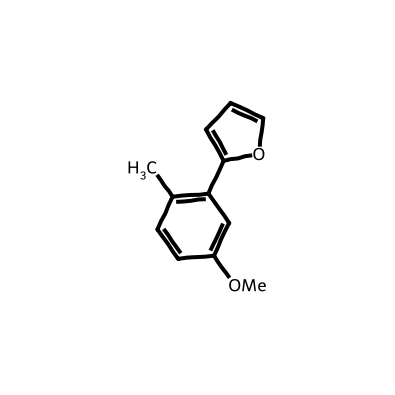 COc1ccc(C)c(-c2ccco2)c1